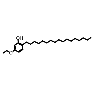 CCCCCCCCCCCCCCCCCc1ccc(OCC)cc1O